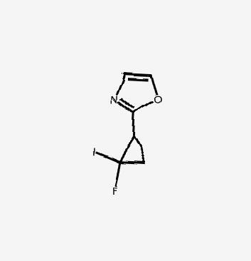 FC1(I)CC1c1n[c]co1